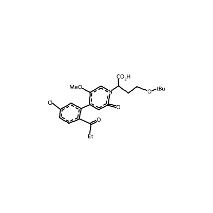 CCC(=O)c1ccc(Cl)cc1-c1cc(=O)n(C(CCOC(C)(C)C)C(=O)O)cc1OC